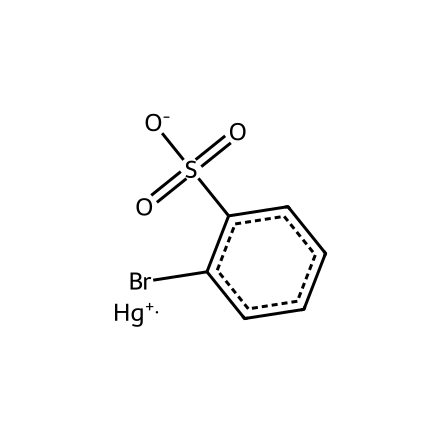 O=S(=O)([O-])c1ccccc1Br.[Hg+]